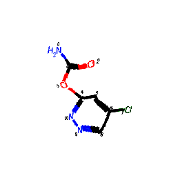 NC(=O)Oc1cc(Cl)cnn1